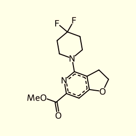 COC(=O)c1cc2c(c(N3CCC(F)(F)CC3)n1)CCO2